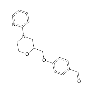 O=Cc1ccc(OCC2CN(c3ccccn3)CCO2)cc1